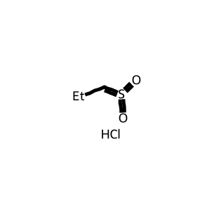 CCC=S(=O)=O.Cl